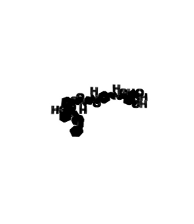 O=C(COc1cccc([C@](O)(C(=O)OCC2CCN(Cc3ccccc3)CC2)c2ccccc2)c1)NC1CC(NC(=O)c2ccc(CCNC[C@H](O)c3ccc(O)c4[nH]c(=O)ccc34)cc2)C1